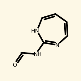 O=[C]NC1=NC=CC=CN1